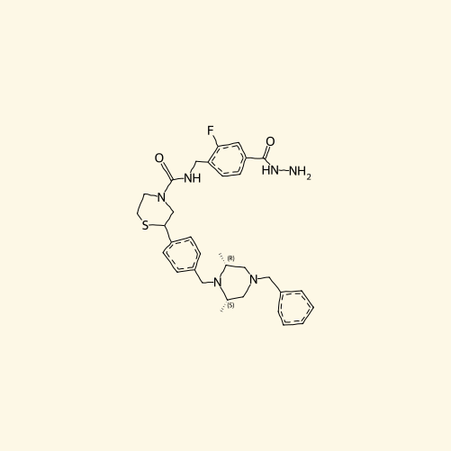 C[C@@H]1CN(Cc2ccccc2)C[C@H](C)N1Cc1ccc(C2CN(C(=O)NCc3ccc(C(=O)NN)cc3F)CCS2)cc1